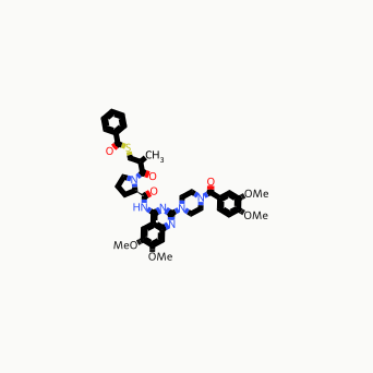 COc1ccc(C(=O)N2CCN(c3nc(NC(=O)[C@@H]4CCCN4C(=O)C(C)CSC(=O)c4ccccc4)c4cc(OC)c(OC)cc4n3)CC2)cc1OC